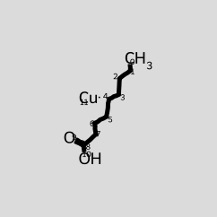 CCCCCCCCC(=O)O.[Cu]